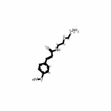 CCCOc1ccc(/C=C/C(=O)NCCOCCN)cc1